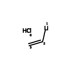 Cl.[Li][CH]=C